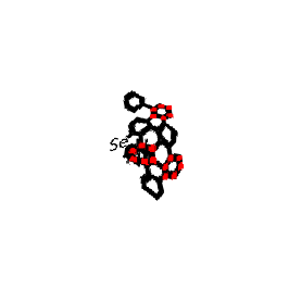 c1ccc(-c2ccccc2-c2ccc(-c3ccccc3)c(-c3c(-c4ccccc4-c4ccccc4)ccc4[se]c5ccccc5c34)c2-c2nnnc(-c3ccccc3-c3ccccc3)c2-c2ccccc2)cc1